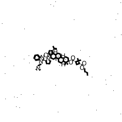 C=C(C)[C@@H]1CC[C@]2(C(=O)N3CCC[C@H]3c3nc4ccccc4n3CCN(C)C)CC[C@]3(C)[C@H](CC[C@@H]4[C@@]5(C)CC[C@H](OC(=O)[C@H]6C[C@@H](C(=O)OCCCC)C6(C)C)C(C)(C)[C@@H]5CC[C@]43C)[C@@H]12